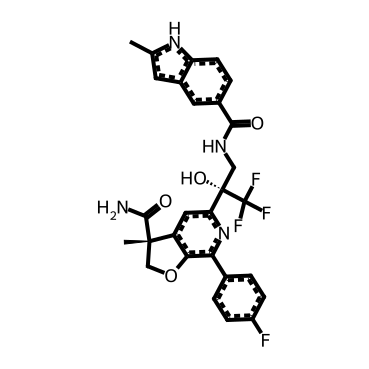 Cc1cc2cc(C(=O)NC[C@](O)(c3cc4c(c(-c5ccc(F)cc5)n3)OC[C@]4(C)C(N)=O)C(F)(F)F)ccc2[nH]1